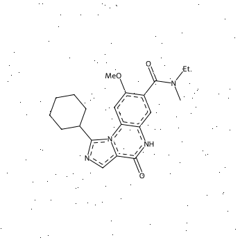 CCN(C)C(=O)c1cc2[nH]c(=O)c3cnc(C4CCCCC4)n3c2cc1OC